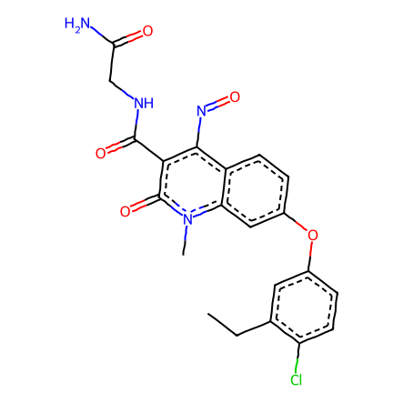 CCc1cc(Oc2ccc3c(N=O)c(C(=O)NCC(N)=O)c(=O)n(C)c3c2)ccc1Cl